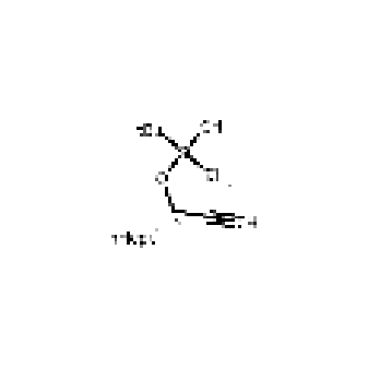 C#C[C@H](CCCCCCC)O[Si](C)(C)C(C)(C)C